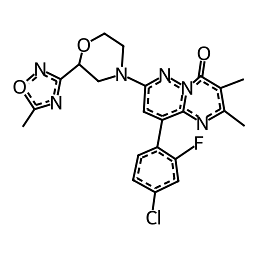 Cc1nc(C2CN(c3cc(-c4ccc(Cl)cc4F)c4nc(C)c(C)c(=O)n4n3)CCO2)no1